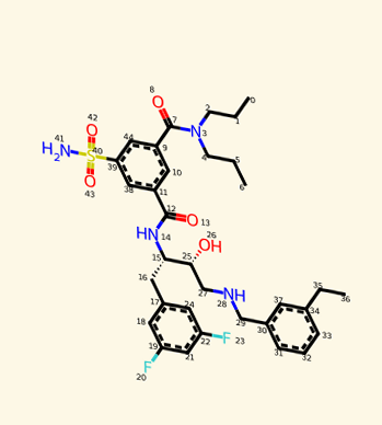 CCCN(CCC)C(=O)c1cc(C(=O)N[C@@H](Cc2cc(F)cc(F)c2)[C@H](O)CNCc2cccc(CC)c2)cc(S(N)(=O)=O)c1